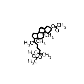 CC(=O)OC1CCC2(C)C(=CCC3C2CCC2(C)C(C(C)CCCC(C)(C)OC(C)=O)CCC32)C1